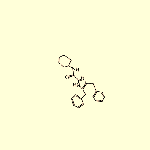 O=C(NC1CCCCC1)c1nc(Cc2ccccc2)c(Cc2ccccc2)[nH]1